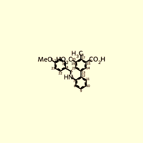 COc1ccc(CNc2ccccc2-c2cc(C(=O)O)c(C)c(C(=O)O)c2)cc1